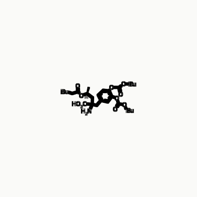 CCC(C)CC(=O)O[C@@H](C)CC(N)(Cc1ccc(OC(=O)OC(C)CC)c(OC(=O)OC(C)CC)c1)C(=O)O